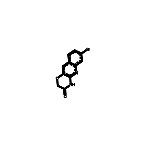 O=C1COc2cc3ccc(Br)cc3nc2N1